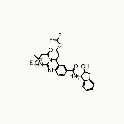 CC[C@@]1(C)CC(=O)N(C(CCOC(F)F)c2cccc(C(=O)N[C@@H]3c4ccccc4CC3O)c2)C(=N)N1